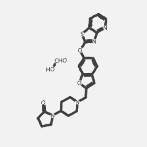 O=C1CCCN1C1CCN(Cc2cc3ccc(Oc4nc5ncccc5s4)cc3o2)CC1.O=CO